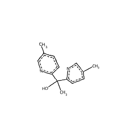 Cc1ccc(C(C)(O)c2ccc(C)cn2)nc1